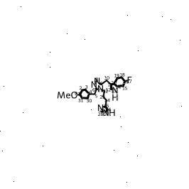 COc1ccc(Cc2nnc(Cc3c[nH]c4cc(F)ccc34)n2CCCc2c[nH]cn2)cc1